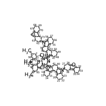 Cc1cc(C)c(B(c2nc(-n3c4ccccc4c4c5c6ccccc6n(-c6ccc7oc8ccccc8c7c6)c5ccc43)nc(-n3c4ccccc4c4c5c6ccccc6n(-c6ccc7oc8ccccc8c7c6)c5ccc43)n2)c2c(C)cc(C)cc2C)c(C)c1